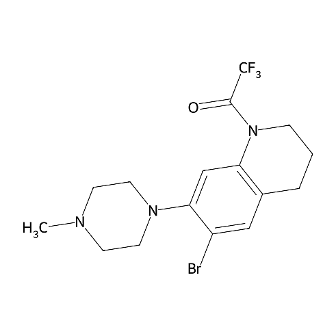 CN1CCN(c2cc3c(cc2Br)CCCN3C(=O)C(F)(F)F)CC1